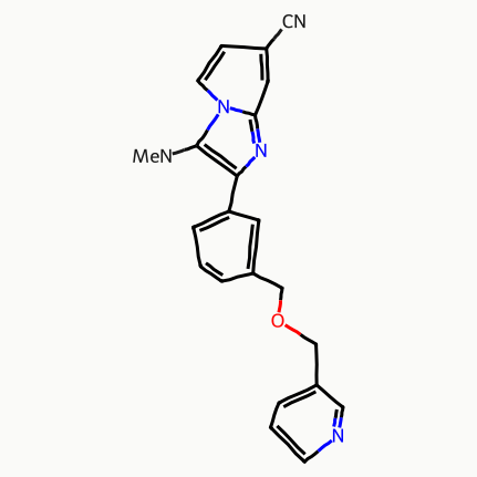 CNc1c(-c2cccc(COCc3cccnc3)c2)nc2cc(C#N)ccn12